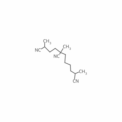 CC(C#N)CCCCC(C)(C#N)CCC(C)C#N